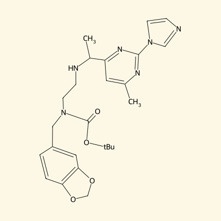 Cc1cc(C(C)NCCN(Cc2ccc3c(c2)OCO3)C(=O)OC(C)(C)C)nc(-n2ccnc2)n1